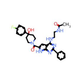 CC(=O)NCCNc1nc(-c2ccccc2)nc2[nH]c(C(=O)N3CCC(O)(c4ccc(F)cc4)CC3)cc12